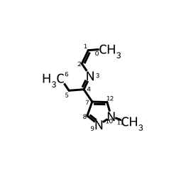 C/C=C\N=C(/CC)c1cnn(C)c1